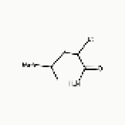 CCC(CC(C)SC)C(N)=O